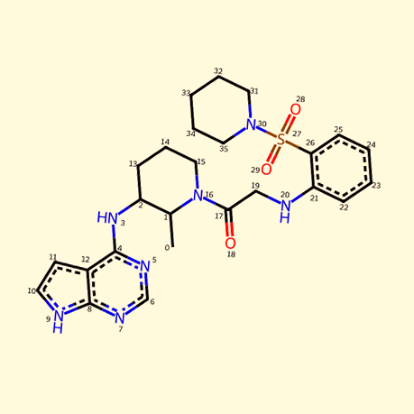 CC1C(Nc2ncnc3[nH]ccc23)CCCN1C(=O)CNc1ccccc1S(=O)(=O)N1CCCCC1